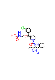 CCC(N)C(CC1CCCCC1)NC(=O)N1CCC[C@@H]([C@@H](OCCNC(=O)O)c2cccc(Cl)c2)C1